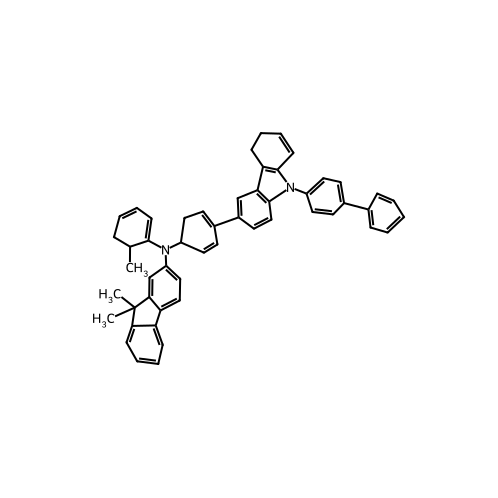 CC1CC=CC=C1N(c1ccc2c(c1)C(C)(C)c1ccccc1-2)C1C=CC(c2ccc3c(c2)c2c(n3-c3ccc(-c4ccccc4)cc3)C=CCC2)=CC1